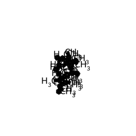 CC(C)(C)c1ccc2c(c1)B1c3cc4c(cc3N(c3ccc(-c5cccc6c5oc5ccc(CC7(C)c8ccccc8-c8ccc(N9c%10cc(C(C)(C)C)ccc%10B%10c%11cc%12c(cc%11N(c%11ccc(-c%13cccc%14c%13oc%13ccccc%13%14)cc%11)c%11cc(C(C)(C)C)cc9c%11%10)C(C)(C)CCC%12(C)C)cc87)cc56)cc3)c3cc(C(C)(C)C)cc(c31)N2c1ccc2c(c1)C(C)(C)c1ccccc1-2)C(C)(C)CCC4(C)C